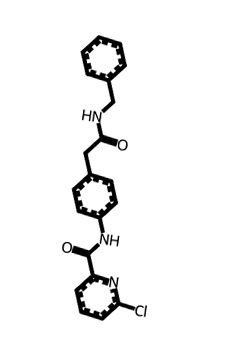 O=C(Cc1ccc(NC(=O)c2cccc(Cl)n2)cc1)NCc1ccccc1